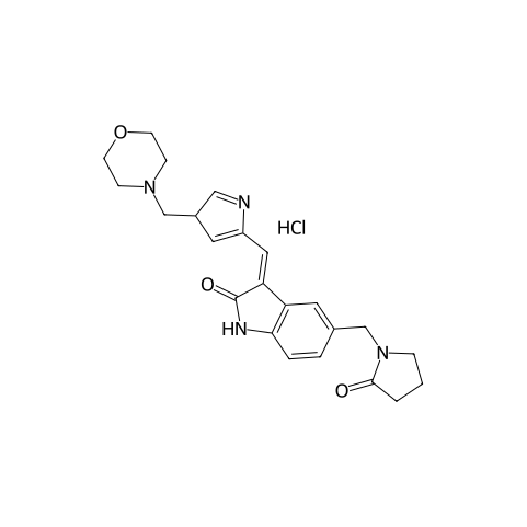 Cl.O=C1Nc2ccc(CN3CCCC3=O)cc2C1=CC1=CC(CN2CCOCC2)C=N1